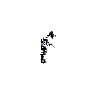 Cn1cc(CCCc2nnn[nH]2)c2cccc(/C=C/c3ccc(OCCCCOc4ccccc4)cc3)c21